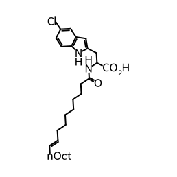 CCCCCCCCC=CCCCCCCCC(=O)NC(Cc1cc2cc(Cl)ccc2[nH]1)C(=O)O